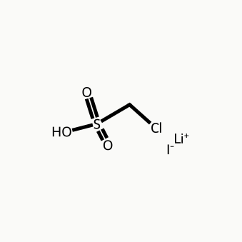 O=S(=O)(O)CCl.[I-].[Li+]